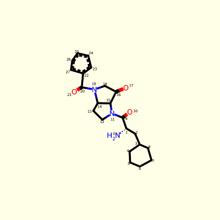 N[C@@H](CC1CCCCC1)C(=O)N1CCC2C1C(=O)CN2C(=O)c1ccccc1